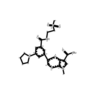 Cn1cc(C(=O)C(C)(C)C)c2nc(-c3cc(C(=O)NCCS(C)(=O)=O)cc(N4CCCC4)c3)cnc21